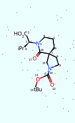 CC(C)[C@@H](C(=O)O)N1CCC[C@]2(CCN(C(=O)OC(C)(C)C)C2)C1=O